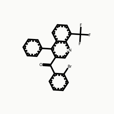 O=C(c1ccccc1Br)c1cnc2c(C(F)(F)F)cccc2c1-c1ccccc1